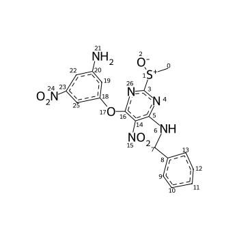 C[S+]([O-])c1nc(NCc2ccccc2)c([N+](=O)[O-])c(Oc2cc(N)cc([N+](=O)[O-])c2)n1